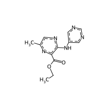 CCOC(=O)c1nc(C)cnc1Nc1cncnc1